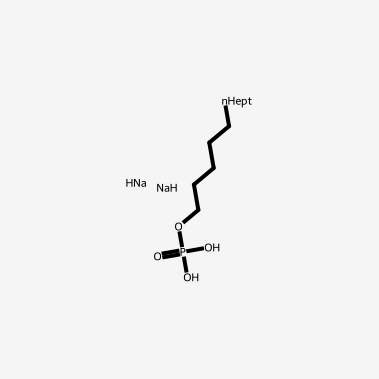 CCCCCCCCCCCCOP(=O)(O)O.[NaH].[NaH]